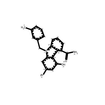 Cc1cccc(Cn2c3cc(C(C)C)cc(O)c3c3c(C(N)=O)cccc32)c1